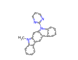 Cn1c2ccccc2c2cc3c4ccccc4n(-c4ncccn4)c3cc21